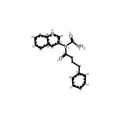 NC(=O)N(C(=O)[CH]CCc1ccccc1)c1cnc2ccccc2c1